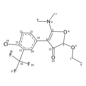 CCOC1OC(N(C)C)=C(c2ccc(Cl)c(C(F)(F)F)c2)C1=O